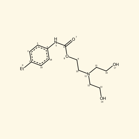 CCc1ccc(NC(=O)OCCN(CCO)CCO)cc1